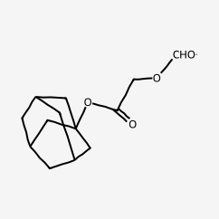 O=[C]OCC(=O)OC12CC3CC(CC(C3)C1)C2